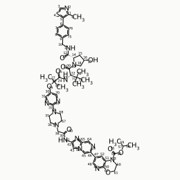 Cc1ncsc1-c1ccc(CNC(=O)[C@@H]2C[C@@H](O)CN2C(=O)[C@@H](NC(=O)C(C)(C)Oc2cnc(N3CCN(CC(=O)Nc4cn5cc(-c6cnc7c(c6)N(C(=O)OC(C)C)CCO7)ncc5n4)CC3)nc2)C(C)(C)C)cc1